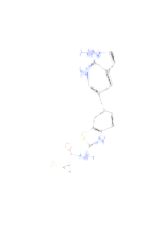 O=C(Nc1nc2ccc(-c3cnc4[nH]ccc4c3)cc2s1)[C@@H]1C[C@@H]1F